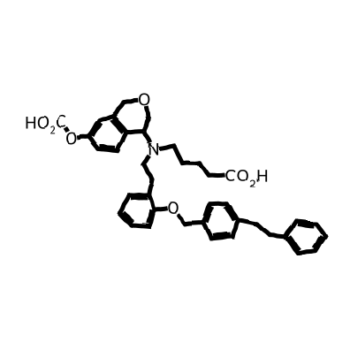 O=C(O)CCCCN(CCc1ccccc1OCc1ccc(CCc2ccccc2)cc1)C1COCc2cc(OC(=O)O)ccc21